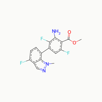 COC(=O)c1c(F)cc(-c2ccc(F)c3cnn(C)c23)c(F)c1N